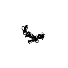 CCOC(=O)C(C)(C)Oc1ccc(OCc2nn(-c3ccc(C(F)(F)F)cc3)c(=O)n2CCOC)cc1C